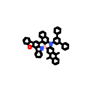 Cc1c2ccccc2c(C)c2cc3c(cc12)B1c2c(cc4ccccc4c2-c2cc4c5ccccc5oc4c4c5ccccc5n1c24)N3c1cc(-c2ccccc2)cc(-c2ccccc2)c1